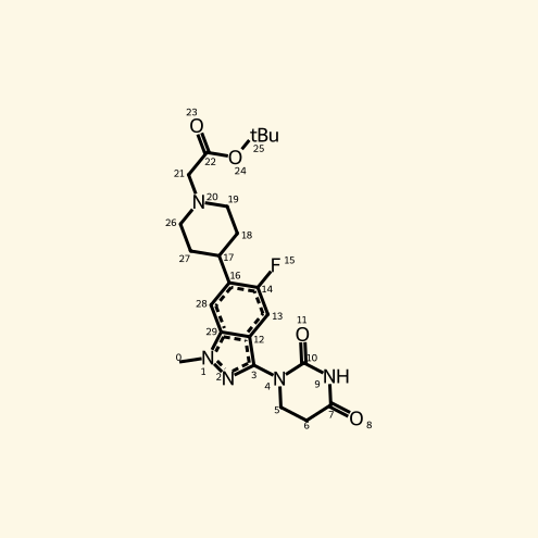 Cn1nc(N2CCC(=O)NC2=O)c2cc(F)c(C3CCN(CC(=O)OC(C)(C)C)CC3)cc21